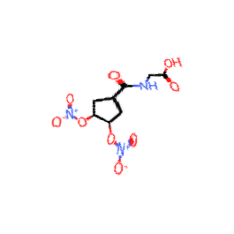 O=C(O)CNC(=O)C1C[C@H](O[N+](=O)[O-])[C@H](O[N+](=O)[O-])C1